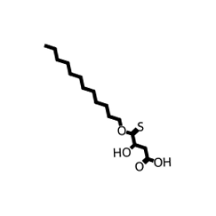 CCCCCCCCCCCCOC(=S)C(O)CC(=O)O